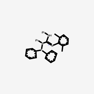 Cc1cccc(C)c1/N=C(\NC(C)C)N(C(C)C)P(c1ccccc1)c1ccccc1